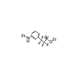 CCNc1cccc(C(F)(F)C(F)(F)P(C)(=O)OCC)c1